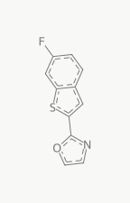 Fc1ccc2cc(-c3ncco3)sc2c1